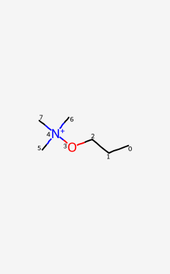 CCCO[N+](C)(C)C